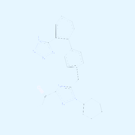 CCCCC(=O)c1nc(Cc2ccc(-c3ccccc3-c3nnn[nH]3)cc2)n(C2CCCCC2)n1